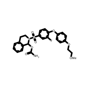 COCCOc1ccc(Oc2ccc(S(=O)(=O)N3CCc4ccccc4C3OC(N)=O)cc2F)cc1